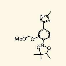 COCOc1cc(-c2cnc(C)s2)ccc1B1OC(C)C(C)(C)O1